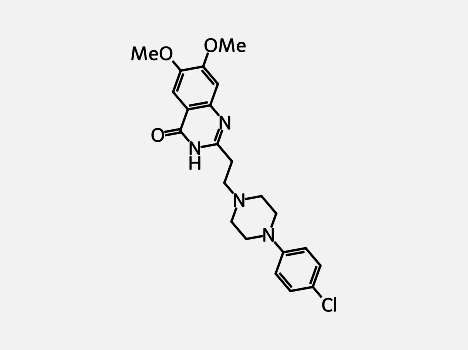 COc1cc2nc(CCN3CCN(c4ccc(Cl)cc4)CC3)[nH]c(=O)c2cc1OC